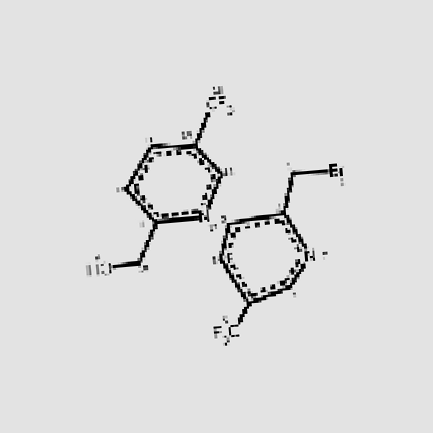 FC(F)(F)c1ccc(CBr)nc1.OCc1ccc(C(F)(F)F)cn1